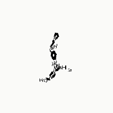 Nc1cc(N2CCN(CCO)CC2)nc(NC[C@H]2CC[C@H](CNCCCN3CCCCC3)CC2)n1